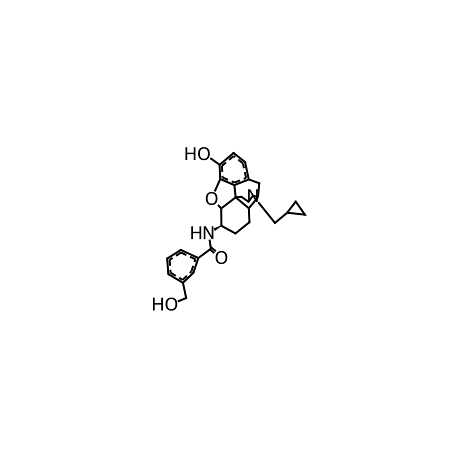 O=C(N[C@@H]1CCC2C3Cc4ccc(O)c5c4C2(CCN3CC2CC2)C1O5)c1cccc(CO)c1